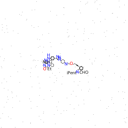 CCCC(C)N(C)Cc1c(C#CCCOCCN(C)[C@H]2CC[C@@H](n3cc(-c4ccc(Nc5ncc6c(n5)N(C5CCCC5)[C@H](CC)C(=O)N6C)c(OC)c4)nn3)CC2)cccc1C=O